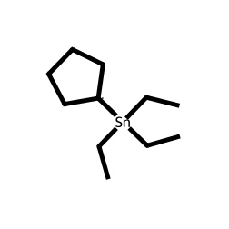 C[CH2][Sn]([CH2]C)([CH2]C)[C]1CCCC1